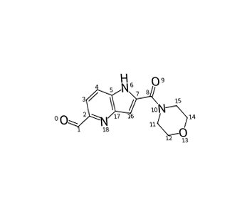 O=Cc1ccc2[nH]c(C(=O)N3CCOCC3)cc2n1